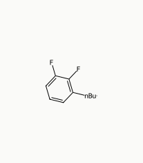 CCC[CH]c1cccc(F)c1F